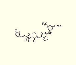 COc1cc(NC(=O)[C@@H]2CCCN2C(=O)CN2CCC[C@H](NS(=O)(=O)/C=C/c3ccc(Cl)s3)C2=O)cc(C(F)(F)F)c1